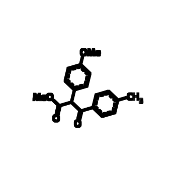 COC(=O)C(C(=O)c1ccc(C)cc1)c1ccc(OC)cc1